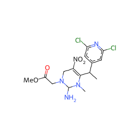 COC(=O)CN1CC([N+](=O)[O-])=C(C(C)c2cc(Cl)nc(Cl)c2)N(C)C1N